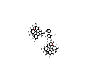 C[n+]1ccccc1.Cc1ccc([NH3+])c(C)c1C.Fc1c(F)c(F)c([B-](c2c(F)c(F)c(F)c(F)c2F)(c2c(F)c(F)c(F)c(F)c2F)c2c(F)c(F)c(F)c(F)c2F)c(F)c1F.Fc1c(F)c(F)c([B-](c2c(F)c(F)c(F)c(F)c2F)(c2c(F)c(F)c(F)c(F)c2F)c2c(F)c(F)c(F)c(F)c2F)c(F)c1F